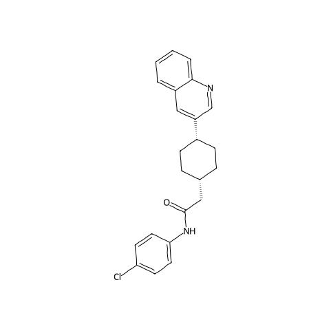 O=C(C[C@H]1CC[C@@H](c2cnc3ccccc3c2)CC1)Nc1ccc(Cl)cc1